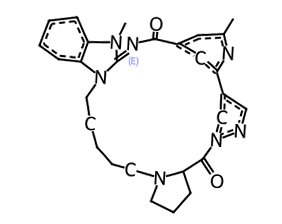 Cc1cc2cc(n1)-c1cnn(c1)C(=O)C1CCCN1CCCCCN1/C(=N/C2=O)N(C)c2ccccc21